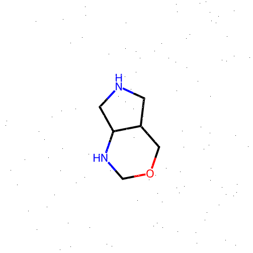 C1NC2CNCC2CO1